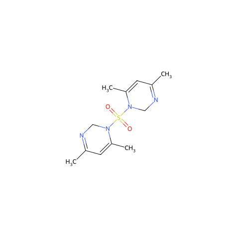 CC1=CC(C)=NCN1S(=O)(=O)N1CN=C(C)C=C1C